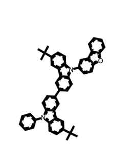 CC(C)(C)c1ccc2c(c1)c1cc(-c3ccc4c(c3)c3cc(C(C)(C)C)ccc3n4-c3ccc4oc5ccccc5c4c3)ccc1n2-c1ccccc1